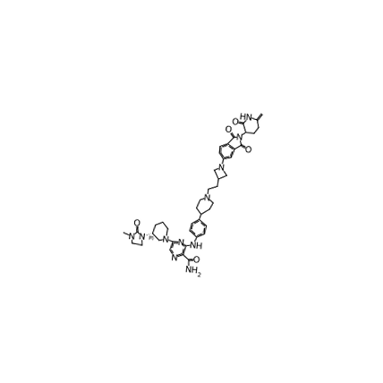 C=C1CCC(N2C(=O)c3ccc(N4CC(CCN5CCC(c6ccc(Nc7nc(N8CCC[C@@H](N9CCN(C)C9=O)C8)cnc7C(N)=O)cc6)CC5)C4)cc3C2=O)C(=O)N1